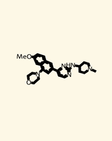 COc1ccc2cc(-c3ccnc(NC4CCN(C)CC4)n3)cc(N3CCOCC3)c2c1